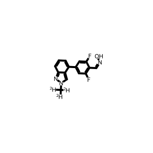 [2H]C([2H])([2H])n1cc2c(-c3cc(F)c(/C=N\O)c(F)c3)cccc2n1